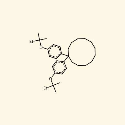 CCC(C)(C)Oc1ccc(C2(c3ccc(OC(C)(C)CC)cc3)CCCCCCCCCCC2)cc1